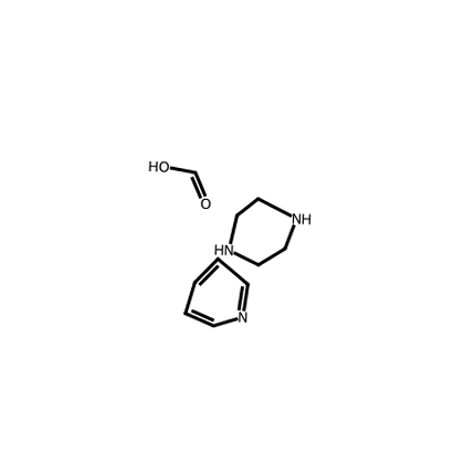 C1CNCCN1.O=CO.c1ccncc1